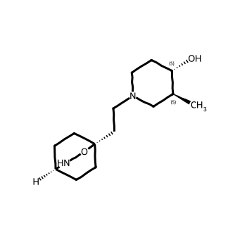 C[C@H]1CN(CC[C@]23CC[C@H](CC2)NO3)CC[C@@H]1O